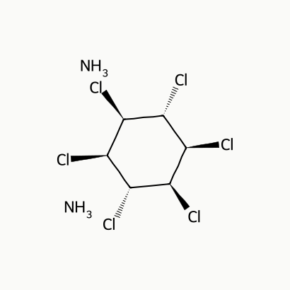 Cl[C@H]1[C@H](Cl)[C@@H](Cl)[C@@H](Cl)[C@H](Cl)[C@H]1Cl.N.N